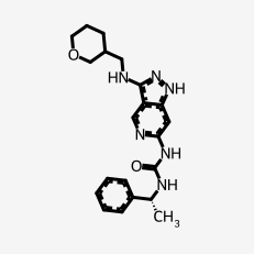 C[C@@H](NC(=O)Nc1cc2[nH]nc(NCC3CCCOC3)c2cn1)c1ccccc1